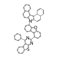 C1=CC2C=Cc3c(c4c5ccccc5ccc4n3-c3cccc4c3oc3cccc(-c5nc(-c6ccccc6)c6c(n5)sc5ccccc56)c34)C2C=C1